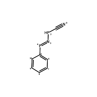 N#CPN=Pc1ccccc1